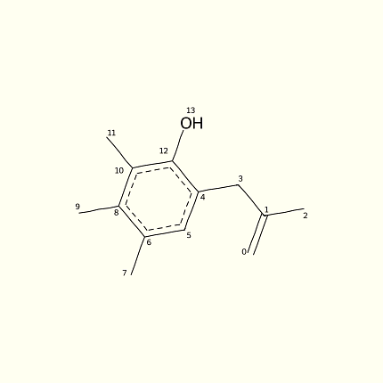 C=C(C)Cc1cc(C)c(C)c(C)c1O